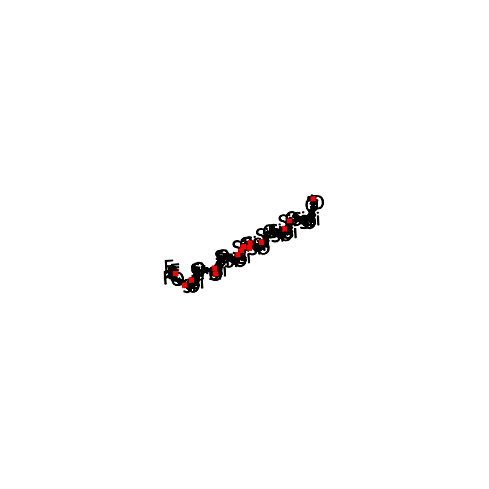 C=C(C)C(=O)OCCC[Si](C)(C)O[Si](C)(C)CC[Si](C)(C)O[Si](C)(C)CC[Si](C)(C)O[Si](C)(C)CC[Si](C)(C)O[Si](C)(C)CC[Si](C)(C)O[Si](C)(C)CC[Si](C)(C)O[Si](C)(C)CC[Si](C)(C)O[Si](C)(C)CC[Si](C)(C)O[Si](C)(C)CC[Si](C)(C)O[Si](C)(C)CC[Si](C)(C)O[Si](C)(C)CC[Si](C)(C)O[Si](C)(C)CCCOCC(F)(F)CC(C)(F)F